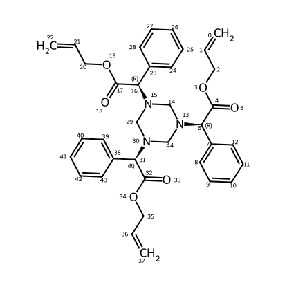 C=CCOC(=O)[C@@H](c1ccccc1)N1CN([C@@H](C(=O)OCC=C)c2ccccc2)CN([C@@H](C(=O)OCC=C)c2ccccc2)C1